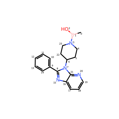 CB(O)N1CCC(n2c(-c3ccccc3)nc3cccnc32)CC1